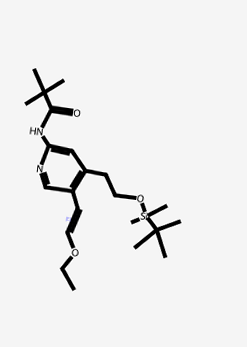 CCO/C=C/c1cnc(NC(=O)C(C)(C)C)cc1CCO[Si](C)(C)C(C)(C)C